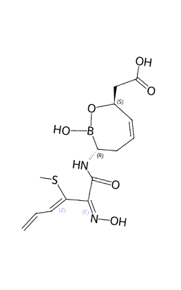 C=C/C=C(SC)/C(=N/O)C(=O)N[C@H]1CC=C[C@H](CC(=O)O)OB1O